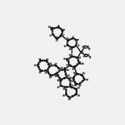 CC1(C)c2ccc(-c3ccncc3)cc2-c2nc(-n3c4cc5ccccc5cc4c4cc5ccccc5cc43)c(-c3ccccc3)nc21